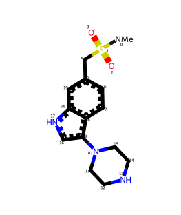 CNS(=O)(=O)Cc1ccc2c(N3CCNCC3)c[nH]c2c1